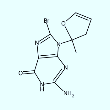 CC1(n2c(Br)nc3c(=O)[nH]c(N)nc32)CC=CO1